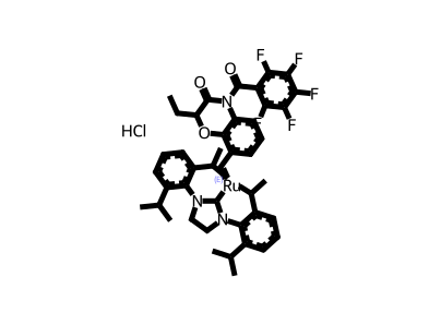 CCC1Oc2c(/[CH]=[Ru]/[CH]3N(c4c(C(C)C)cccc4C(C)C)CCN3c3c(C(C)C)cccc3C(C)C)cccc2N(C(=O)c2c(F)c(F)c(F)c(F)c2F)C1=O.Cl